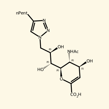 CCCCCc1cn(C[C@@H](O)[C@@H](O)[C@@H]2OC(C(=O)O)=C[C@H](O)[C@H]2NC(C)=O)nn1